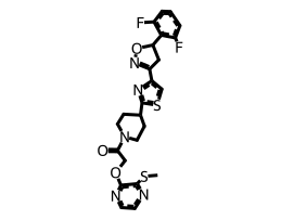 CSc1nccnc1OCC(=O)N1CCC(c2nc(C3=NOC(c4c(F)cccc4F)C3)cs2)CC1